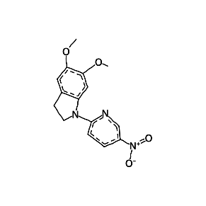 COc1cc2c(cc1OC)N(c1ccc([N+](=O)[O-])cn1)CC2